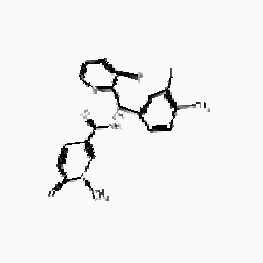 Cc1ccc([C@H](NC(=O)c2ccc(=O)n(C)c2)c2ncccc2F)cc1F